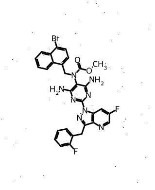 COC(=O)N(Cc1ccc(Br)c2ccccc12)c1c(N)nc(-n2nc(Cc3ccccc3F)c3ncc(F)cc32)nc1N